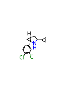 Clc1ccc([C@]23C[C@H]2CC(C2CC2)N3)cc1Cl